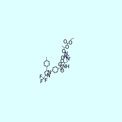 CCOC(=O)OC(C)O/N=[N+](\[O-])N(C)CC(=O)NS(=O)(=O)c1ccc(-n2nc(C(F)(F)F)cc2-c2ccc(C)cc2)cc1